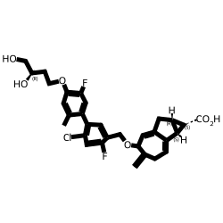 C=C1CC=C2C(=CC1OCc1cc(-c3cc(F)c(OCC[C@@H](O)CO)cc3C)c(Cl)cc1F)C[C@H]1[C@H](C(=O)O)[C@@H]21